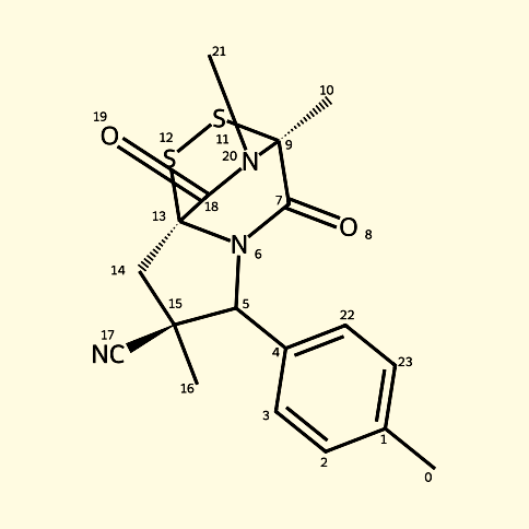 Cc1ccc(C2N3C(=O)[C@]4(C)SS[C@@]3(C[C@]2(C)C#N)C(=O)N4C)cc1